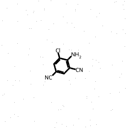 N#Cc1cc(Cl)c(N)c(C#N)c1